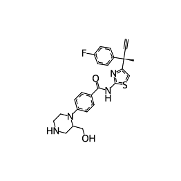 C#C[C@@](C)(c1ccc(F)cc1)c1csc(NC(=O)c2ccc(N3CCNCC3CO)cc2)n1